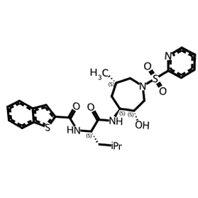 CC(C)C[C@H](NC(=O)c1cc2ccccc2s1)C(=O)N[C@H]1C[C@H](C)CN(S(=O)(=O)c2ccccn2)C[C@@H]1O